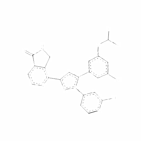 O=C1NCc2c1ccnc2-c1cc(-c2cc(Br)cc(OC(F)F)c2)n(-c2ccnc(Cl)c2)n1